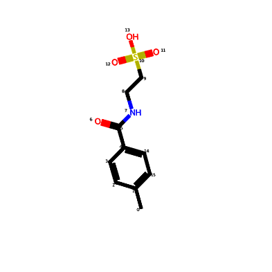 Cc1ccc(C(=O)NCCS(=O)(=O)O)cc1